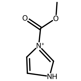 COC(=O)[n+]1cc[nH]c1